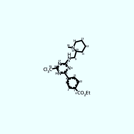 CCOC(=O)c1ccc(-c2nc(NCC3CCCCN3C)nc(C(Cl)(Cl)Cl)n2)cc1